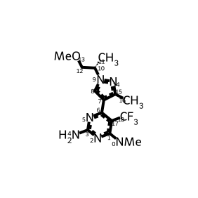 CNc1nc(N)nc(-c2cn([C@@H](C)COC)nc2C)c1C(F)(F)F